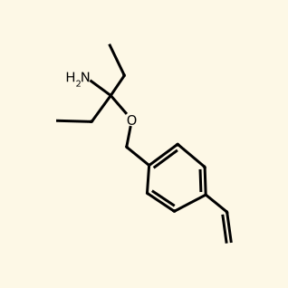 C=Cc1ccc(COC(N)(CC)CC)cc1